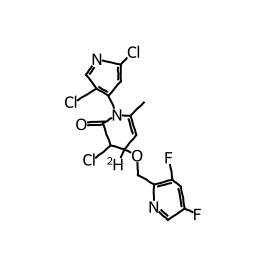 [2H]C1(OCc2ncc(F)cc2F)C=C(C)N(c2cc(Cl)ncc2Cl)C(=O)C1Cl